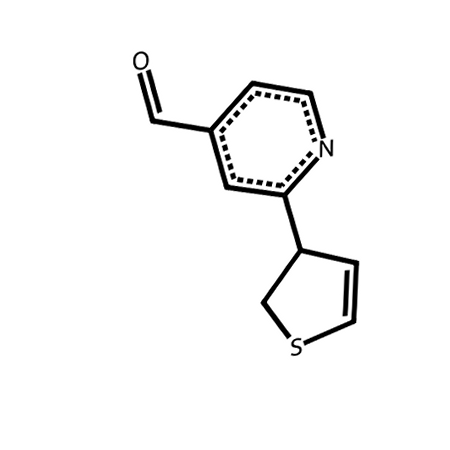 O=Cc1ccnc(C2C=CSC2)c1